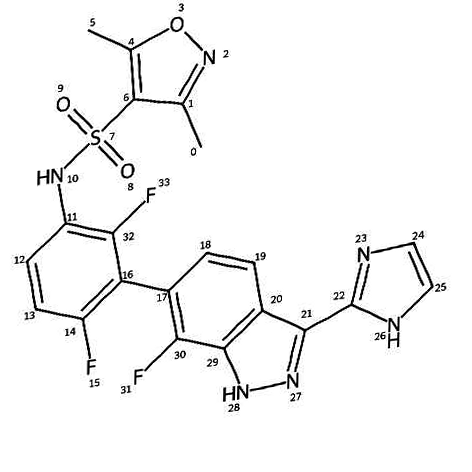 Cc1noc(C)c1S(=O)(=O)Nc1ccc(F)c(-c2ccc3c(-c4ncc[nH]4)n[nH]c3c2F)c1F